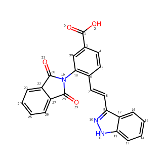 O=C(O)c1ccc(C=Cc2n[nH]c3ccccc23)c(N2C(=O)c3ccccc3C2=O)c1